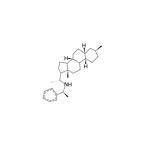 C[C@H]1CC[C@@H]2C3CC[C@@]4(C)C(CCC4[C@@H](C)N[C@@H](C)c4ccccc4)[C@@H]3CC[C@@H]2C1